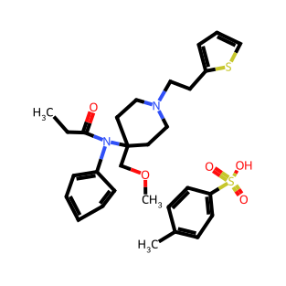 CCC(=O)N(c1ccccc1)C1(COC)CCN(CCc2cccs2)CC1.Cc1ccc(S(=O)(=O)O)cc1